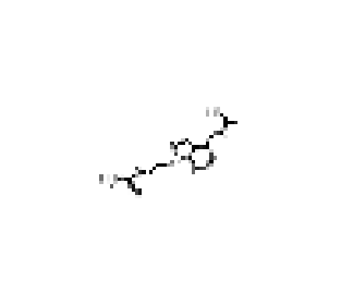 CC(=N)SCc1ncnc2c1cnn2CCCSC(=N)N